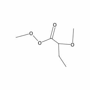 CCC(OC)C(=O)OOC